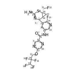 C[C@]1(c2cc(NC(=O)c3cnc(OCC(F)(F)C(F)F)cn3)cnc2F)N=C(N)S[C@@]2(CF)CC21